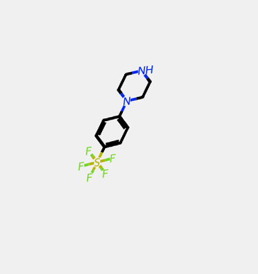 FS(F)(F)(F)(F)c1ccc(N2CCNCC2)cc1